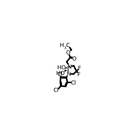 CCOC(=O)CN1CC(F)(F)CN(c2c(Cl)cc(Cl)cc2Cl)S1(O)O